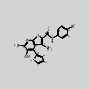 N#Cc1c(N)nc2sc(C(=O)Nc3ccc(Br)cc3)c(N)c2c1-c1cccs1